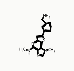 CNc1nc2cc(-c3cccc(CN)c3)sc2c2c1ncn2C